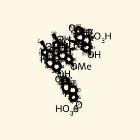 C#C[C@]1(O)CC[C@H]2[C@@H]3CCc4cc(O)ccc4[C@H]3CC[C@@]21C.C#C[C@]1(O)CC[C@H]2[C@@H]3CCc4cc(OC)ccc4[C@H]3CC[C@@]21C.C1CNCCN1.C[C@]12CC[C@@H]3c4ccc(O)cc4CC[C@H]3[C@@H]1CCC2=O.C[C@]12CC[C@@H]3c4ccc(OS(=O)(=O)O)cc4CC[C@H]3[C@@H]1CCC2=O.O=S(=O)(O)O